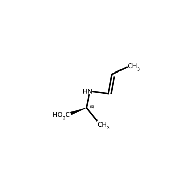 CC=CN[C@@H](C)C(=O)O